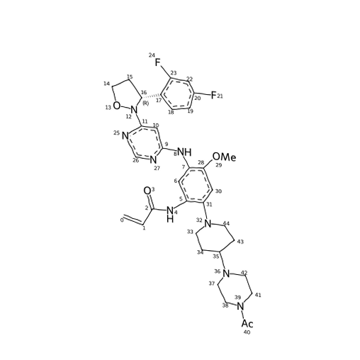 C=CC(=O)Nc1cc(Nc2cc(N3OCC[C@@H]3c3ccc(F)cc3F)ncn2)c(OC)cc1N1CCC(N2CCN(C(C)=O)CC2)CC1